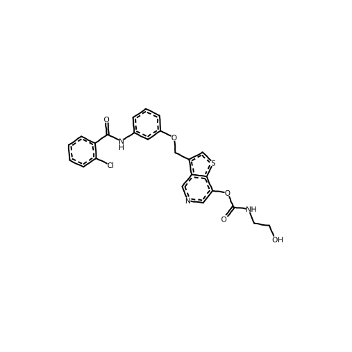 O=C(NCCO)Oc1cncc2c(COc3cccc(NC(=O)c4ccccc4Cl)c3)csc12